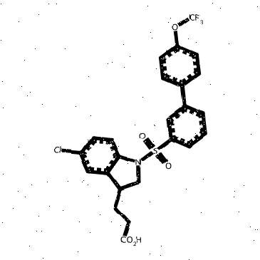 O=C(O)CCC1CN(S(=O)(=O)c2cccc(-c3ccc(OC(F)(F)F)cc3)c2)c2ccc(Cl)cc21